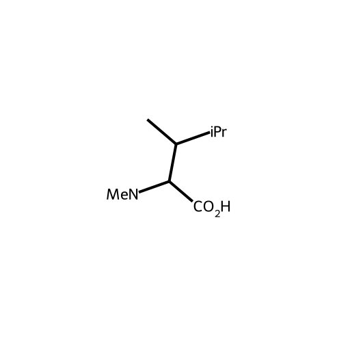 CNC(C(=O)O)C(C)C(C)C